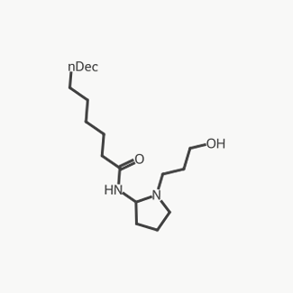 CCCCCCCCCCCCCCCC(=O)NC1CCCN1CCCO